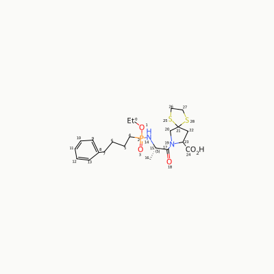 CCOP(=O)(CCCCc1ccccc1)N[C@@H](C)C(=O)N1CC2(CC1C(=O)O)SCCS2